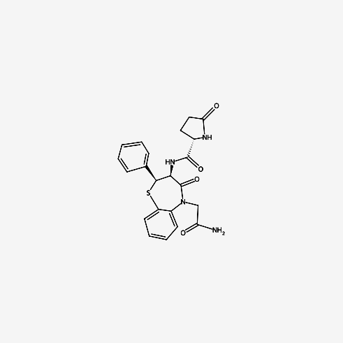 NC(=O)CN1C(=O)[C@H](NC(=O)[C@@H]2CCC(=O)N2)[C@H](c2ccccc2)Sc2ccccc21